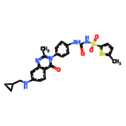 Cc1ccc(S(=O)(=O)NC(=O)Nc2ccc(-n3c(C)nc4cc(NCC5CC5)ccc4c3=O)cc2)s1